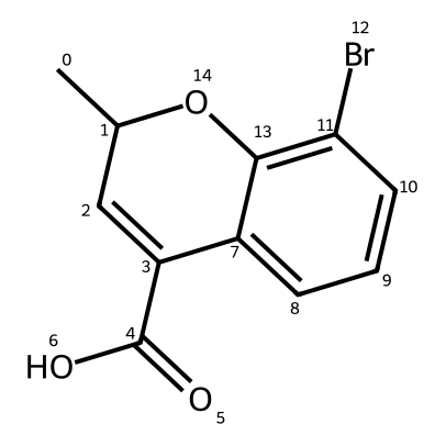 CC1C=C(C(=O)O)c2cccc(Br)c2O1